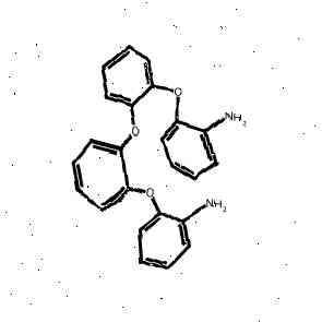 Nc1ccccc1Oc1ccccc1Oc1ccccc1Oc1ccccc1N